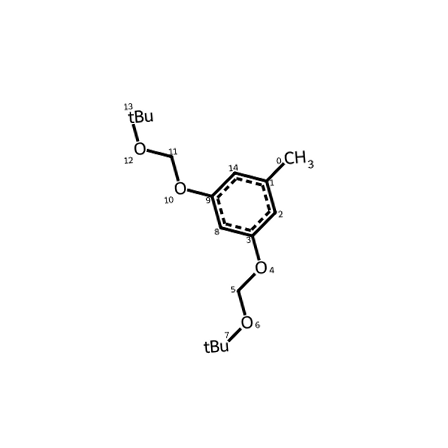 Cc1cc(OCOC(C)(C)C)cc(OCOC(C)(C)C)c1